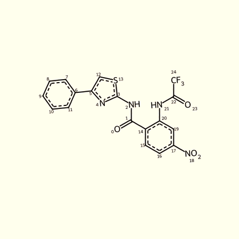 O=C(Nc1nc(-c2ccccc2)cs1)c1ccc([N+](=O)[O-])cc1NC(=O)C(F)(F)F